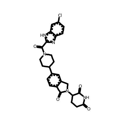 O=C1CCC(N2Cc3cc(C4CCN(C(=O)c5nc6ccc(Cl)cc6[nH]5)CC4)ccc3C2=O)C(=O)N1